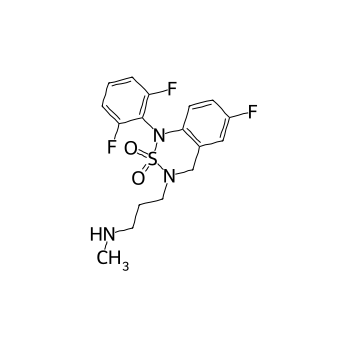 CNCCCN1Cc2cc(F)ccc2N(c2c(F)cccc2F)S1(=O)=O